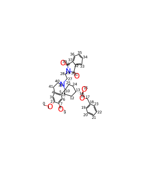 COc1cc2c(cc1OC)[C@]1(CC[C@@H](C(=O)OCc3ccccc3)CC1)N(CCN1C(=O)c3ccccc3C1=O)CC2